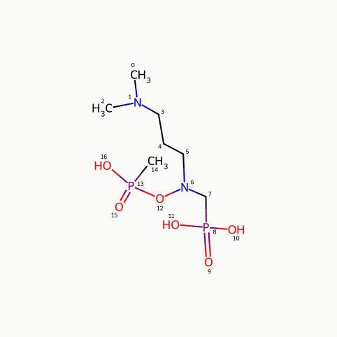 CN(C)CCCN(CP(=O)(O)O)OP(C)(=O)O